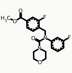 COC(=O)c1ccc(CN(C(=O)N2CCOCC2)c2cccc(F)c2)c(F)c1